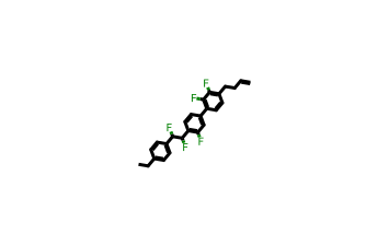 C=CCCc1ccc(-c2ccc(C(F)C(F)c3ccc(CC)cc3)c(F)c2)c(F)c1F